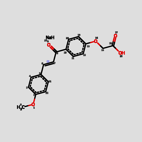 COc1ccc(/C=C/C(=O)c2ccc(OCC(=O)O)cc2)cc1.[NaH]